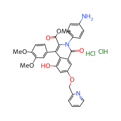 COC(=O)c1c(-c2ccc(OC)c(OC)c2)c2c(O)cc(OCc3ccccn3)cc2c(=O)n1-c1ccc(N)cc1.Cl.Cl